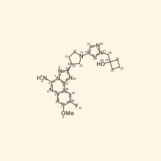 COc1cc2nc(N)n3nc([C@H]4CCN(c5cnn(CC6(O)CCC6)c5)C4)nc3c2cc1F